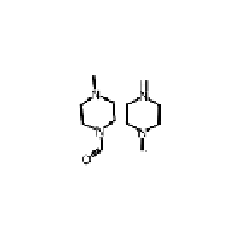 CN1CCN(C=O)CC1.[CH2]N1CCNCC1